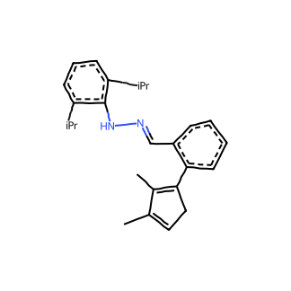 CC1=CCC(c2ccccc2/C=N/Nc2c(C(C)C)cccc2C(C)C)=C1C